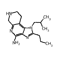 CCCc1nc2c(N)nc3c(c2n1CC(C)C)CCNC3